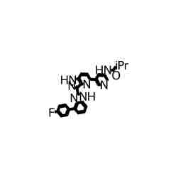 CC(C)C(=O)Nc1cncc(-c2ccc3[nH]nc(-c4nc5c(-c6ccc(F)cc6)cccc5[nH]4)c3n2)c1